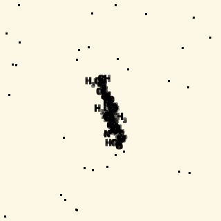 Cc1c(-c2nc3c(o2)CN(C(=O)CN2CC(C)(O)C2)C3)cccc1-c1cccc(-c2nc3cc(CN4CC[C@@H](C(=O)O)C4)cc(C#N)c3o2)c1C